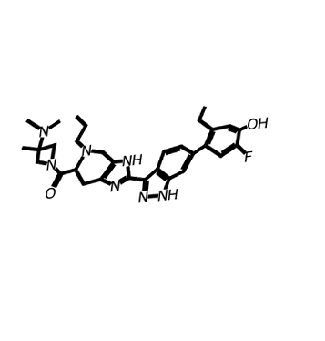 CCCN1Cc2[nH]c(-c3n[nH]c4cc(-c5cc(F)c(O)cc5CC)ccc34)nc2CC1C(=O)N1CC(C)(N(C)C)C1